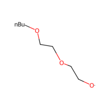 CCCCOCCOCC[O]